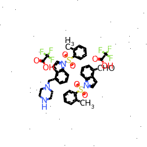 Cc1ccccc1S(=O)(=O)n1ccc2c(C=O)cccc21.Cc1ccccc1S(=O)(=O)n1ccc2c(CN3CCNCC3)cccc21.O=C(O)C(F)(F)F.O=C(O)C(F)(F)F